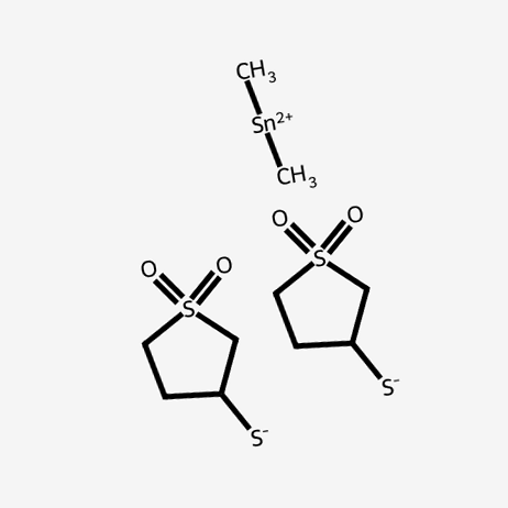 O=S1(=O)CCC([S-])C1.O=S1(=O)CCC([S-])C1.[CH3][Sn+2][CH3]